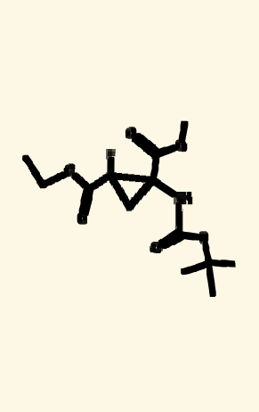 CCOC(=O)C1(F)CC1(NC(=O)OC(C)(C)C)C(=O)OC